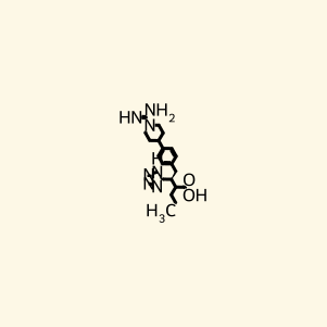 CCCC(C(=O)O)[C@H](Cc1ccc(C2CCN(C(=N)N)CC2)cc1)c1nnn[nH]1